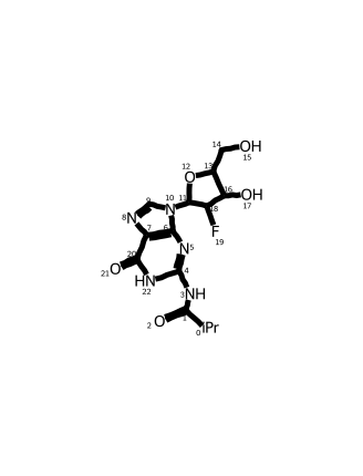 CC(C)C(=O)Nc1nc2c(ncn2C2OC(CO)C(O)C2F)c(=O)[nH]1